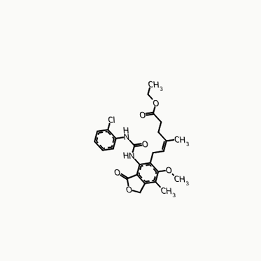 CCOC(=O)CCC(C)=CCc1c(NC(=O)Nc2ccccc2Cl)c2c(c(C)c1OC)COC2=O